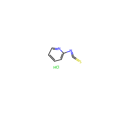 Cl.S=C=Nc1ccccn1